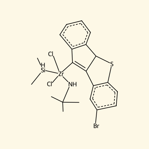 C[SiH](C)[Zr]([Cl])([Cl])([NH]C(C)(C)C)[C]1=C2c3cc(Br)ccc3SC2c2ccccc21